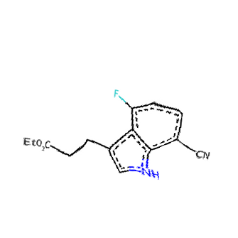 CCOC(=O)CCc1c[nH]c2c(C#N)ccc(F)c12